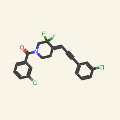 O=C(c1cccc(Cl)c1)N1CC/C(=C\C#Cc2cccc(Cl)c2)C(F)(F)C1